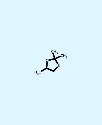 CC1CSC(C)(C)O1